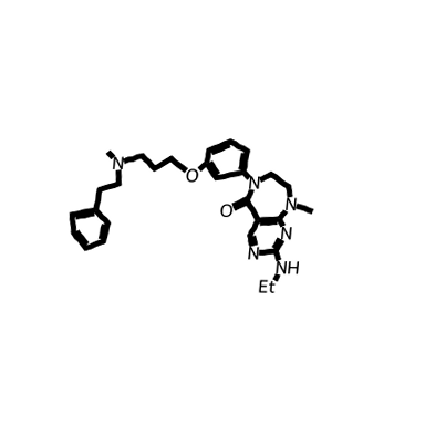 CCNc1ncc2c(n1)N(C)CCN(c1cccc(OCCCN(C)CCc3ccccc3)c1)C2=O